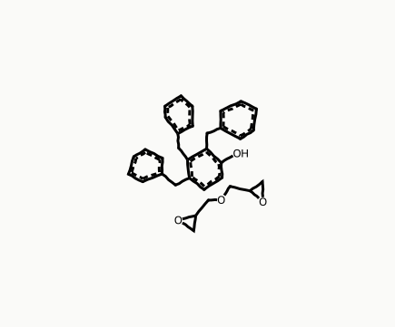 C(OCC1CO1)C1CO1.Oc1ccc(Cc2ccccc2)c(Cc2ccccc2)c1Cc1ccccc1